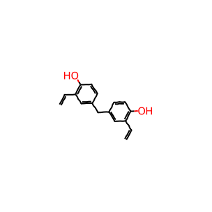 C=Cc1cc(Cc2ccc(O)c(C=C)c2)ccc1O